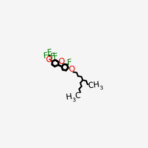 CCCCCC(CCC)CCCCOc1ccc2c(oc3c(F)c(OC(F)(F)F)ccc32)c1F